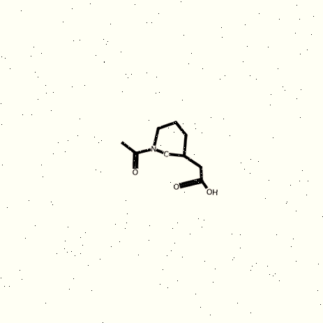 CC(=O)N1CCCC(CC(=O)O)C1